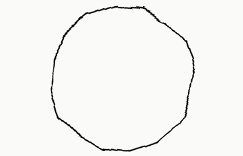 C1CCCCCCCCCCCCCCC1